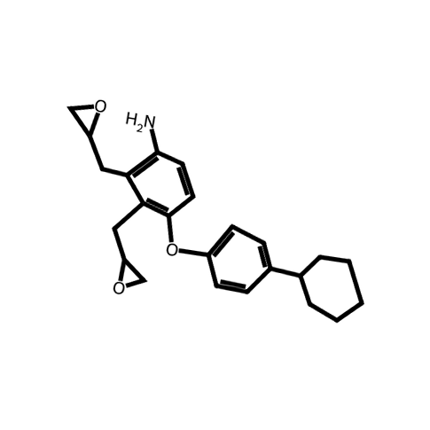 Nc1ccc(Oc2ccc(C3CCCCC3)cc2)c(CC2CO2)c1CC1CO1